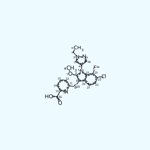 CCn1cc(-n2c(OC)c(Sc3cccc(C(=O)O)n3)c3ccc(Cl)c(F)c32)cn1